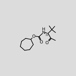 CC(=O)[C@@H](NC(=O)OC1CCCCCC1)C(C)(C)C